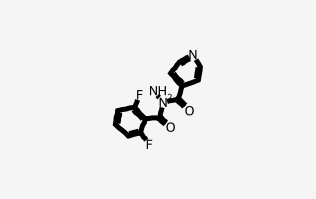 NN(C(=O)c1ccncc1)C(=O)c1c(F)cccc1F